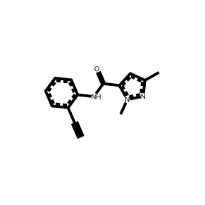 C#Cc1ccccc1NC(=O)c1cc(C)nn1C